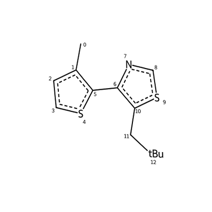 Cc1ccsc1-c1ncsc1CC(C)(C)C